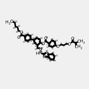 C=C(C)C(=O)OCCCOc1ccc(C(=O)Oc2ccc(-c3ccc(C(=O)OCCCCC)cc3)cc2/C=N/Nc2nc3ccccc3s2)cc1